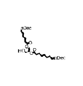 CCCCCCCCCCCCCCCCCC(=O)O[C@@H](CO)COC(=O)CCCCCCCCCCCCCCC